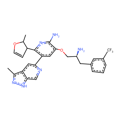 Cc1n[nH]c2cnc(-c3cc(OC[C@@H](N)Cc4cccc(C(F)(F)F)c4)c(N)nc3C3C=COC3C)cc12